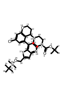 CC(C)(C)OC(=O)N1CCN(C2CCOc3cc(Cl)cc(-c4ccnc5cc(CO[Si](C)(C)C(C)(C)C)sc45)c32)CC1